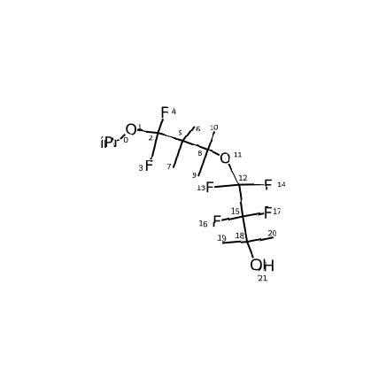 CC(C)OC(F)(F)C(C)(C)C(C)(C)OC(F)(F)C(F)(F)C(C)(C)O